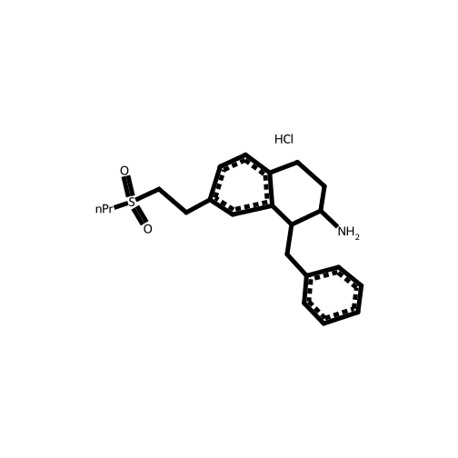 CCCS(=O)(=O)CCc1ccc2c(c1)C(Cc1ccccc1)C(N)CC2.Cl